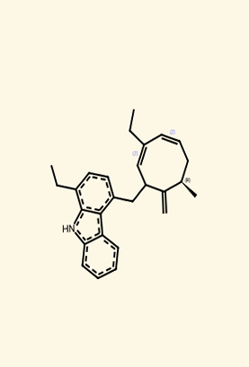 C=C1C(Cc2ccc(CC)c3[nH]c4ccccc4c23)/C=C(CC)\C=C/C[C@H]1C